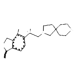 Cc1c([C@@H](O)CN2CCC3(CCNCC3)C2)ccc2c1COC2=O.Cl